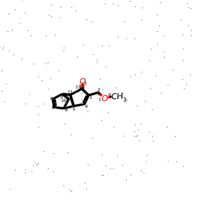 COCC1=CC2C3C=CC(C3)C2C1=O